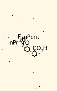 CCCCCn1c(F)c(CCC)n(Cc2ccc(-c3ccccc3C(=O)O)cc2)c1=O